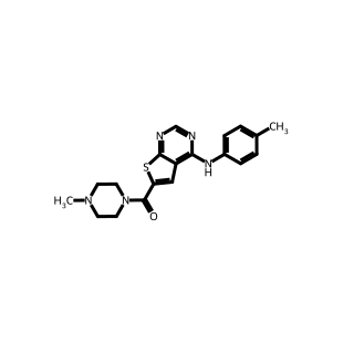 Cc1ccc(Nc2ncnc3sc(C(=O)N4CCN(C)CC4)cc23)cc1